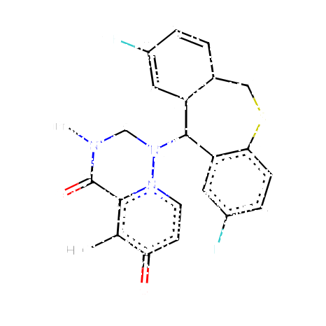 Cc1c2n(ccc1=O)N(C1c3cc(F)ccc3SCC3C=CC(F)=CC31)CN(C(C)C)C2=O